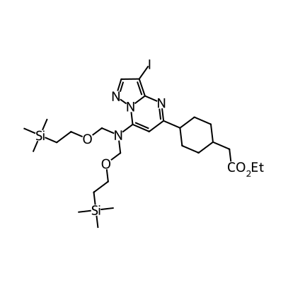 CCOC(=O)CC1CCC(c2cc(N(COCC[Si](C)(C)C)COCC[Si](C)(C)C)n3ncc(I)c3n2)CC1